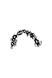 CC1(C)[C@H](NC(=O)c2ccc(N3CCC(CN4CCN(c5ccc6c(c5)C(=O)N(C5CCC(=O)NC5=O)C6=O)CC4)CC3)cc2F)C(C)(C)[C@H]1Oc1ccc(C#N)c(Cl)c1